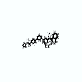 CCn1nc(-c2cccc(-c3ccc(C(=O)NC4CCCC4)cc3)c2)cc(Nc2cncc3ccccc23)c1=O